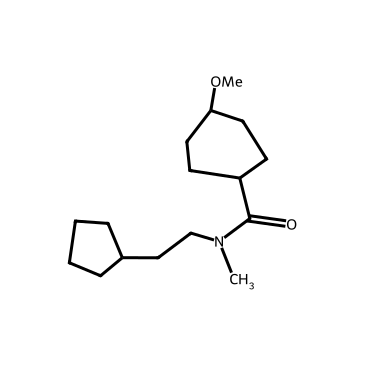 COC1CCC(C(=O)N(C)CCC2CCCC2)CC1